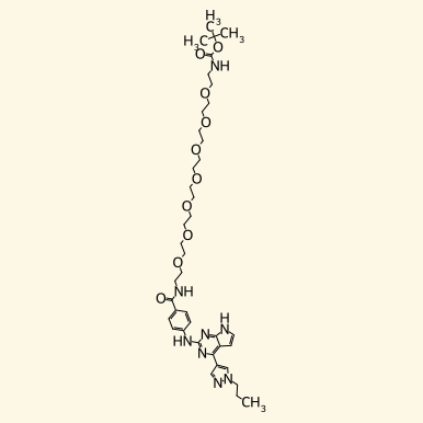 CCCn1cc(-c2nc(Nc3ccc(C(=O)NCCOCCOCCOCCOCCOCCOCCOCCNC(=O)OC(C)(C)C)cc3)nc3[nH]ccc23)cn1